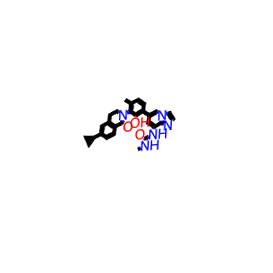 CNC(=O)Nc1cc(-c2ccc(C)c(N3CCc4cc(C5CC5)ccc4C3=O)c2O)cn2ccnc12